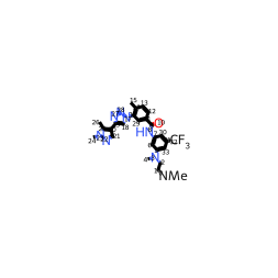 CNCCN(C)c1cc(NC(=O)c2ccc(C)c(-n3cc(-c4cnn(C)c4C)nn3)c2)cc(C(F)(F)F)c1